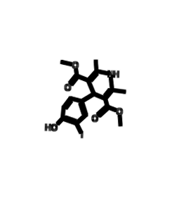 COC(=O)C1=C(C)NC(C)=C(C(=O)OC)C1c1ccc(O)c(I)c1